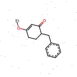 CCOC1=CC(=O)C(Cc2ccccc2)CC1